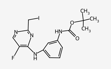 CC(C)(C)OC(=O)Nc1cccc(Nc2nc(CI)ncc2F)c1